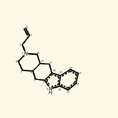 C=CCN1CCC2Cc3[nH]c4ccccc4c3CC2C1